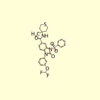 CC1(NC(=O)c2ccc3c(c2)n(S(=O)(=O)c2ccccc2)c(=O)n3-c2cccc(OC(F)F)c2)CCSCC1